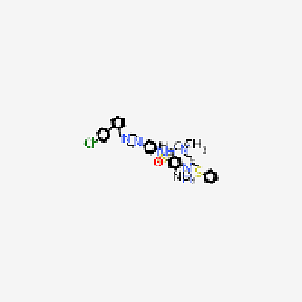 CN(C)CC[C@H](CSc1ccccc1)Nc1ccc([S+]([O-])Nc2ccc(N3CCN(Cc4ccccc4-c4ccc(Cl)cc4)CC3)cc2)cc1[N+](=O)[O-]